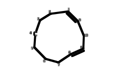 [C]1=C\CCCCCC/C=C/C/1